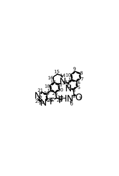 CNC(=O)c1cc2ccccc2c(N2CCCc3cc(-c4cncnc4)c(C(F)F)cc32)n1